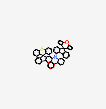 c1ccc(-c2ccccc2N(c2cccc3c2-c2ccccc2C32c3ccccc3Oc3ccccc32)c2cc3c(c4ccccc24)-c2ccccc2C32c3ccccc3Sc3ccccc32)cc1